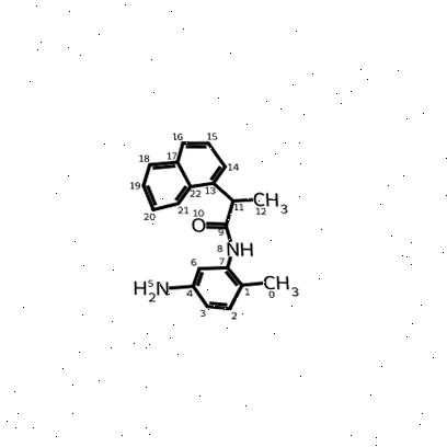 Cc1ccc(N)cc1NC(=O)C(C)c1cccc2ccccc12